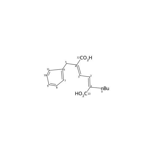 CCCCC(=CC=C(Cc1ccccc1)C(=O)O)C(=O)O